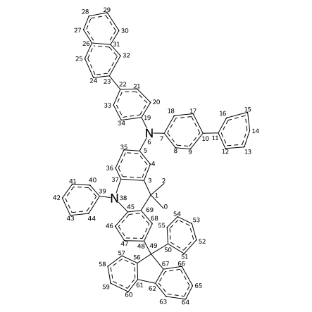 CC1(C)c2cc(N(c3ccc(-c4ccccc4)cc3)c3ccc(-c4ccc5ccccc5c4)cc3)ccc2N(c2ccccc2)c2ccc(C3(c4ccccc4)c4ccccc4-c4ccccc43)cc21